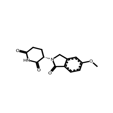 COc1ccc2c(c1)CN([C@H]1CCC(=O)NC1=O)C2=O